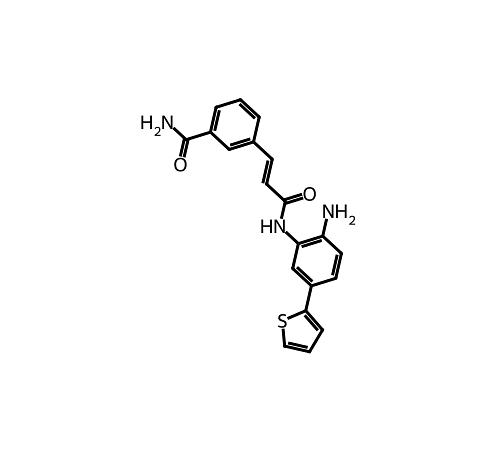 NC(=O)c1cccc(C=CC(=O)Nc2cc(-c3cccs3)ccc2N)c1